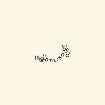 O=C1CCC(NC(=O)c2ccc(N3CC4(CCN(CC5CCN(c6ccc([C@H]7c8ccc(O)cc8OC[C@H]7c7ccccc7F)cc6)CC5)CC4)C3)cc2F)C(=O)N1